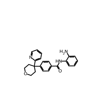 Nc1ccccc1NC(=O)c1ccc(C2(c3ccccn3)CCOCC2)cc1